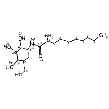 CCCCCCCCC(N)C(=O)NC1CC(CO)C(O)C(O)C1O